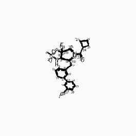 CS(=O)(=O)N[C@@H]1[C@H](Cc2cccc(-c3cccc(F)c3)c2)N(C(=O)C2CCC2)CC1(F)F